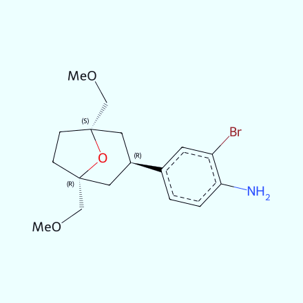 COC[C@@]12CC[C@@](COC)(C[C@@H](c3ccc(N)c(Br)c3)C1)O2